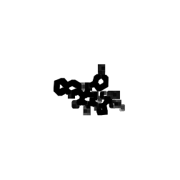 CC(C)(O)[C@H]1CCN1c1nc(NC2CCCNC2)c(-c2ccc3ccccc3n2)c(=O)[nH]1